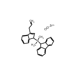 C=CCC1=CC([Si](C)(C)C2c3ccccc3-c3ccccc32)c2ccccc21.[Cl-].[Cl-].[Zr+2]